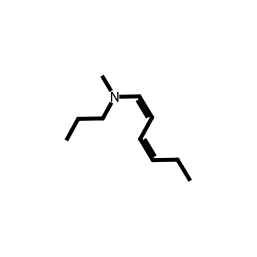 CC/C=C\C=C/N(C)CCC